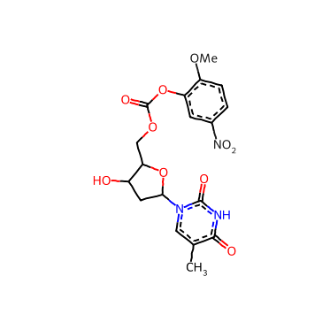 COc1ccc([N+](=O)[O-])cc1OC(=O)OCC1OC(n2cc(C)c(=O)[nH]c2=O)CC1O